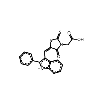 O=C(O)CN1C(=O)C(=Cc2c(-c3ccccc3)[nH]c3ccccc23)SC1=S